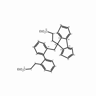 CCOC(=O)CCc1ccccc1-c1ccccc1CC1(CCC(=O)OCC)c2ccccc2-c2ccccc21